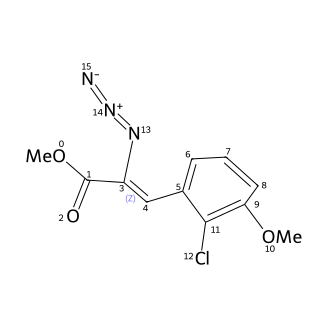 COC(=O)/C(=C/c1cccc(OC)c1Cl)N=[N+]=[N-]